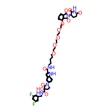 O=C1CCC(N2C(=O)c3cccc(OCCOCCOCCOCCOCCCCCNC(=O)c4cc5cc(N6CCC(O)(C(=O)NCc7cc(F)cc(F)c7)C6=O)ccc5[nH]4)c3C2=O)C(=O)N1